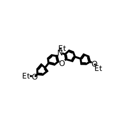 CCOc1ccc(-c2ccc3c(c2)Oc2cc(-c4ccc(OCC)cc4)ccc2N3CC)cc1